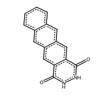 O=c1[nH][nH]c(=O)c2cc3cc4ccccc4cc3cc12